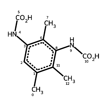 Cc1cc(NC(=O)O)c(C)c(NC(=O)O)c1C